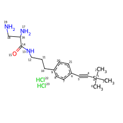 C[Si](C)(C)C#Cc1ccc(CCCNC(=O)C(N)CN)cc1.Cl.Cl